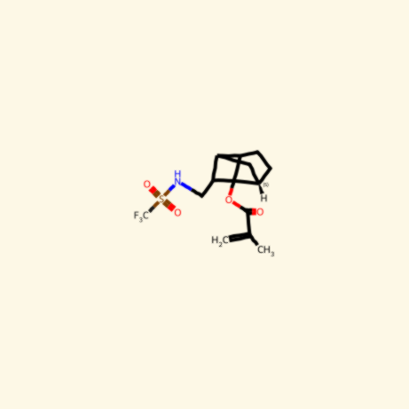 C=C(C)C(=O)OC12C3CC[C@H]1CC3C2CNS(=O)(=O)C(F)(F)F